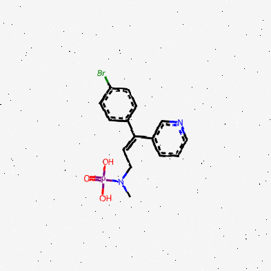 CN(CC=C(c1ccc(Br)cc1)c1cccnc1)P(=O)(O)O